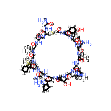 CCCC[C@H]1C(=O)N(C)[C@@H](CCCC)C(=O)N[C@@H](CC(C)C)C(=O)N[C@H](C(=O)NCC(N)=O)CSCC(=O)N[C@@H](Cc2ccc(O)cc2)C(=O)N(C)[C@@H](C)C(=O)N[C@@H](CC(N)=O)C(=O)N(C)[C@@H](C)C(=O)N[C@@H](Cc2c[nH]cn2)C(=O)N[C@@H](CCC(=O)O)C(=O)N2C[C@H](O)C[C@H]2C(=O)N[C@@H](Cc2c[nH]c3ccccc23)C(=O)N[C@@H](CCN)C(=O)N[C@@H](Cc2csc3ccccc23)C(=O)N1C